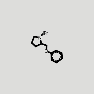 CC(C)N1CCCC1COc1ccccc1